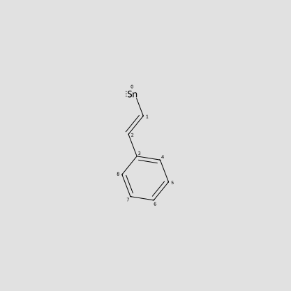 [Sn][CH]=Cc1ccccc1